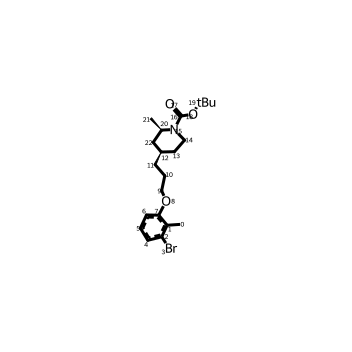 Cc1c(Br)cccc1OCCC[C@@H]1CCN(C(=O)OC(C)(C)C)[C@H](C)C1